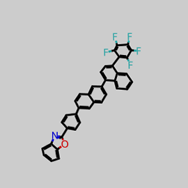 Fc1c(F)c(F)c(-c2ccc(-c3ccc4cc(-c5ccc(-c6nc7ccccc7o6)cc5)ccc4c3)c3ccccc23)c(F)c1F